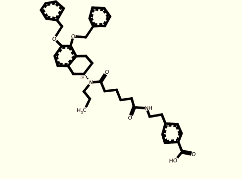 CCCN(C(=O)CCCCC(=O)NCCc1ccc(C(=O)O)cc1)[C@H]1CCc2c(ccc(OCc3ccccc3)c2OCc2ccccc2)C1